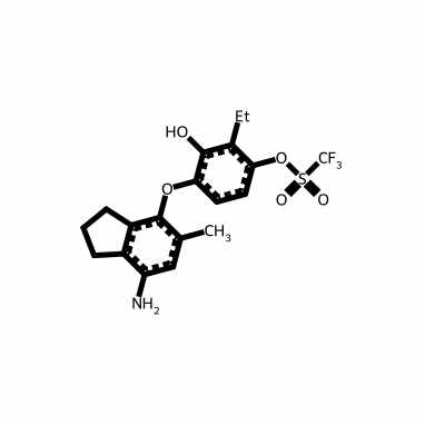 CCc1c(OS(=O)(=O)C(F)(F)F)ccc(Oc2c(C)cc(N)c3c2CCC3)c1O